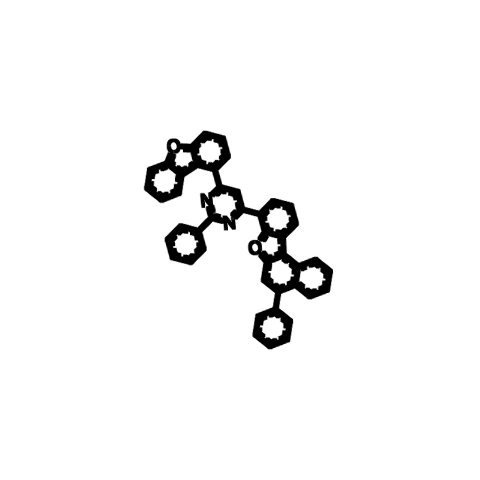 c1ccc(-c2nc(-c3cccc4c3oc3cc(-c5ccccc5)c5ccccc5c34)cc(-c3cccc4oc5ccccc5c34)n2)cc1